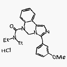 CCN(CC)C(=O)N1Cn2c(cnc2-c2cccc(OC)c2)-c2ccccc21.Cl